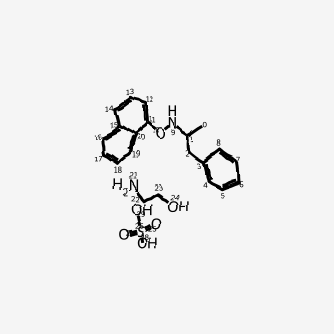 CC(Cc1ccccc1)NOc1cccc2ccccc12.NCCO.O=S(=O)(O)O